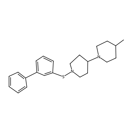 CC1CCN(C2CCN(Sc3cccc(-c4ccccc4)c3)CC2)CC1